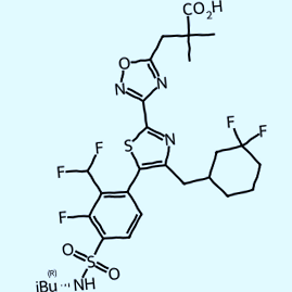 CC[C@@H](C)NS(=O)(=O)c1ccc(-c2sc(-c3noc(CC(C)(C)C(=O)O)n3)nc2CC2CCCC(F)(F)C2)c(C(F)F)c1F